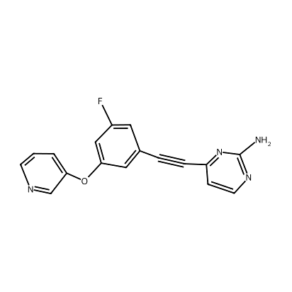 Nc1nccc(C#Cc2cc(F)cc(Oc3cccnc3)c2)n1